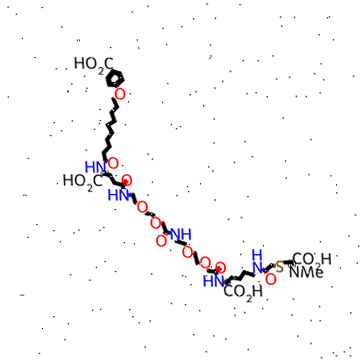 CN[C@@H](CSCC(=O)NCCCC[C@H](NC(=O)COCCOCCNC(=O)COCCOCCNC(=O)CC[C@@H](NC(=O)CCCCCCCCCOc1ccc(C(=O)O)cc1)C(=O)O)C(=O)O)C(=O)O